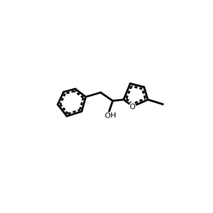 Cc1ccc(C(O)Cc2ccccc2)o1